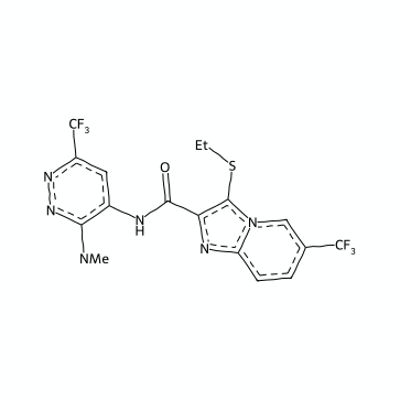 CCSc1c(C(=O)Nc2cc(C(F)(F)F)nnc2NC)nc2ccc(C(F)(F)F)cn12